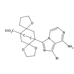 CCOC(=O)C12CCC(c3nc(Br)c4c(N)nccn34)(CC13CCCO3)C1(C2)OCCO1